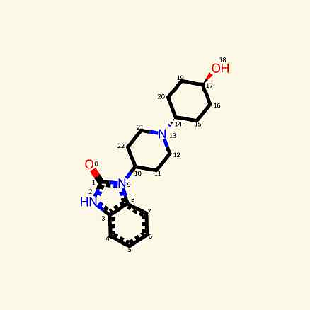 O=c1[nH]c2ccccc2n1C1CCN([C@H]2CC[C@H](O)CC2)CC1